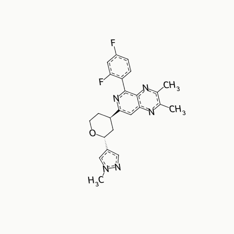 Cc1nc2cc([C@@H]3CCO[C@@H](c4cnn(C)c4)C3)nc(-c3ccc(F)cc3F)c2nc1C